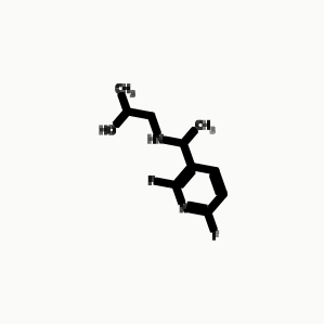 CC(O)CNC(C)c1ccc(F)nc1F